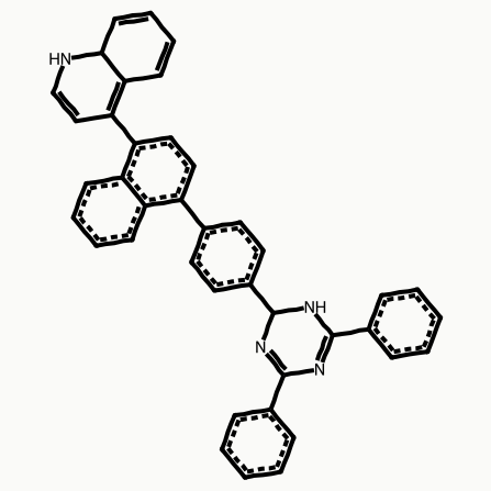 C1=CC2=C(c3ccc(-c4ccc(C5N=C(c6ccccc6)N=C(c6ccccc6)N5)cc4)c4ccccc34)C=CNC2C=C1